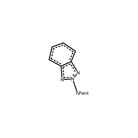 CCCCCn1nc2ccccc2n1